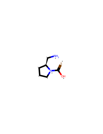 NC[C@@H]1CCCN1C(O)=S